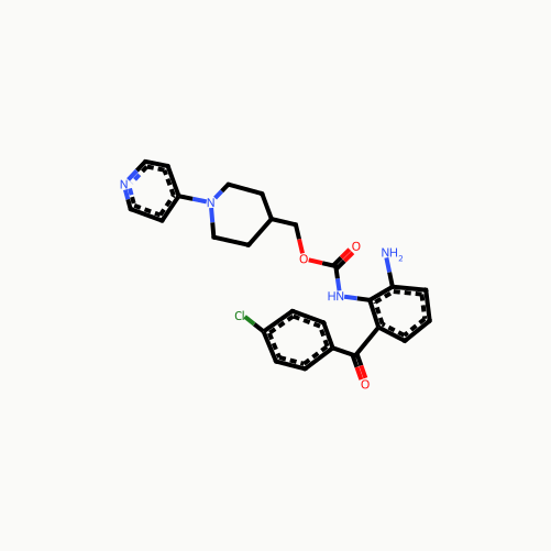 Nc1cccc(C(=O)c2ccc(Cl)cc2)c1NC(=O)OCC1CCN(c2ccncc2)CC1